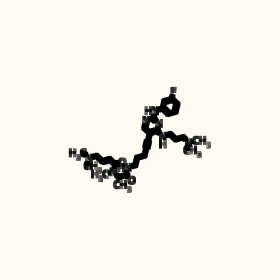 C[C@@H](C(=O)NCCCC#Cc1cnc(Nc2cccc(F)c2)nc1NCCCN(C)C)N(C)C(=O)/C=C/CN(C)C